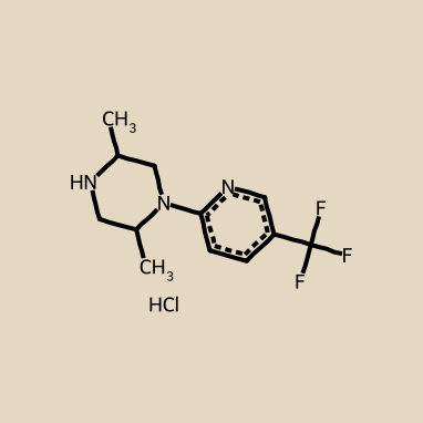 CC1CN(c2ccc(C(F)(F)F)cn2)C(C)CN1.Cl